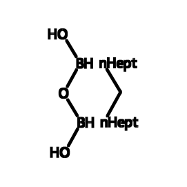 CCCCCCCCCCCCCCC.OBOBO